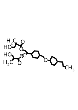 C=C(CO)C(=O)OCC(COC(=O)C(=C)CO)C1CCC(COC2CCC(CCC)CC2)CC1